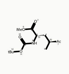 COC(=O)[C@H](C[C@H](C)C(C)=O)NC(=O)OC(C)(C)C